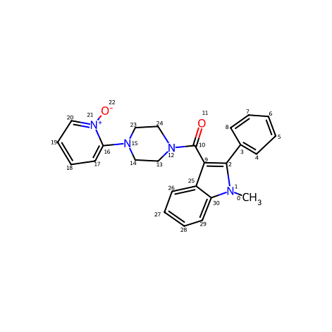 Cn1c(-c2ccccc2)c(C(=O)N2CCN(c3cccc[n+]3[O-])CC2)c2ccccc21